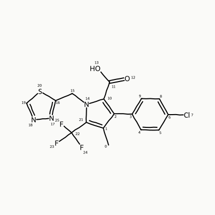 Cc1c(-c2ccc(Cl)cc2)c(C(=O)O)n(Cc2nncs2)c1C(F)(F)F